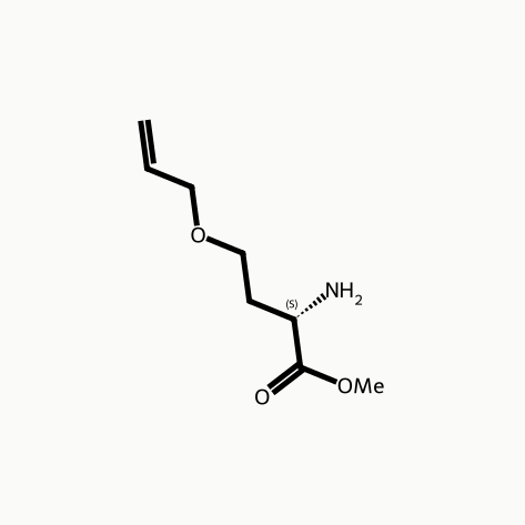 C=CCOCC[C@H](N)C(=O)OC